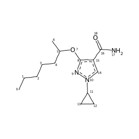 CCCCCC(C)Oc1nn(C2CC2)cc1C(N)=O